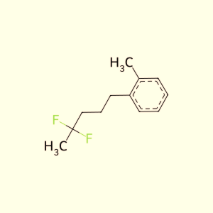 Cc1ccccc1CCCC(C)(F)F